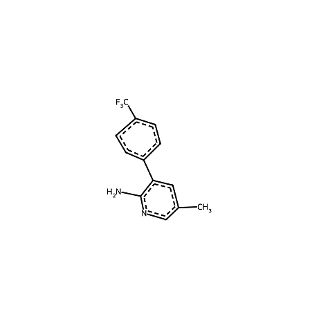 Cc1cnc(N)c(-c2ccc(C(F)(F)F)cc2)c1